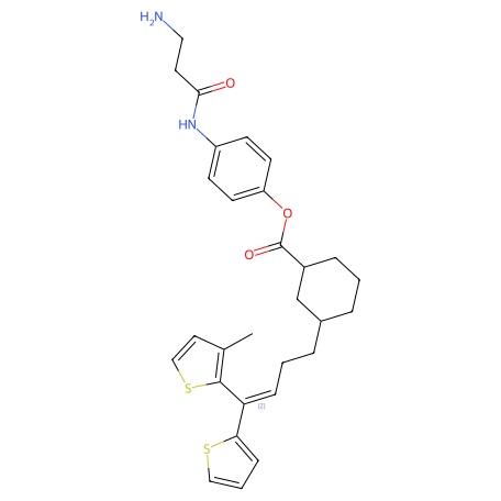 Cc1ccsc1/C(=C\CCC1CCCC(C(=O)Oc2ccc(NC(=O)CCN)cc2)C1)c1cccs1